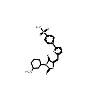 CS(=O)(=O)c1ccc(-c2ccc(C=C3SC(=S)N(C4CCCC(C(=O)O)C4)C3=O)o2)cc1